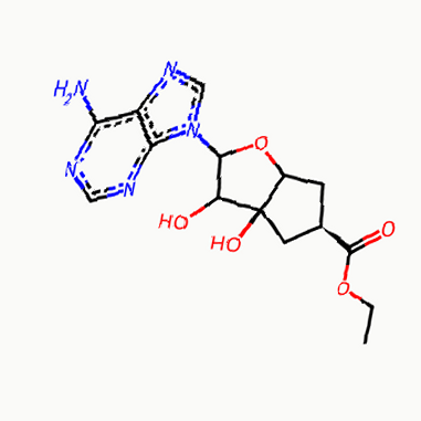 CCOC(=O)[C@@H]1CC2OC(n3cnc4c(N)ncnc43)C(O)C2(O)C1